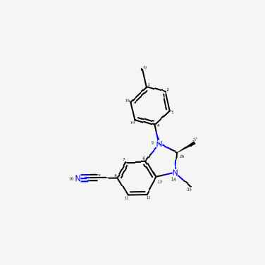 Cc1ccc(N2c3cc(C#N)ccc3N(C)[C@@H]2C)cc1